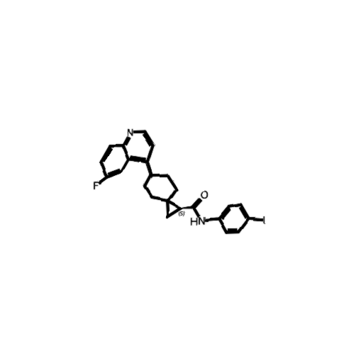 O=C(Nc1ccc(I)cc1)[C@H]1CC12CCC(c1ccnc3ccc(F)cc13)CC2